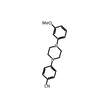 COc1cccc(N2CCN(c3ccc(C#N)cc3)CC2)c1